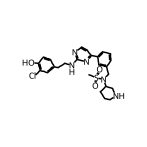 CS(=O)(=O)N(Cc1cccc(-c2ccnc(NCCc3ccc(O)c(Cl)c3)n2)c1)C1CCCNC1